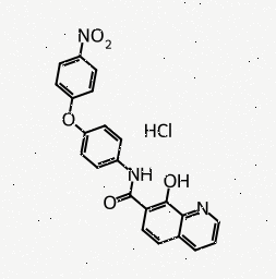 Cl.O=C(Nc1ccc(Oc2ccc([N+](=O)[O-])cc2)cc1)c1ccc2cccnc2c1O